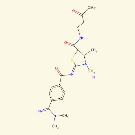 COC(=O)CCNC(=O)C1SC(=NC(=O)c2ccc(C(=N)N(C)C)cc2)N(C)C1C.I